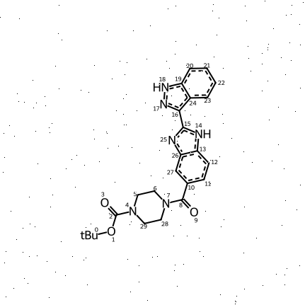 CC(C)(C)OC(=O)N1CCN(C(=O)c2ccc3[nH]c(-c4n[nH]c5ccccc45)nc3c2)CC1